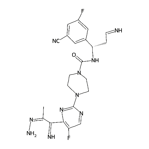 C/C(=N/N)C(=N)c1nc(N2CCN(C(=O)N[C@@H](CC=N)c3cc(F)cc(C#N)c3)CC2)ncc1F